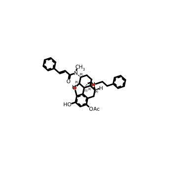 CC(=O)Oc1cc(O)c2c3c1C[C@@H]1[C@@H]4CC[C@@H](N(C)C(=O)C=Cc5ccccc5)[C@H](O2)[C@]34CCN1CCc1ccccc1